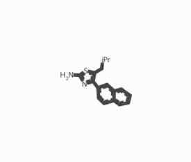 CC(C)Cc1sc(N)nc1-c1ccc2ccccc2c1